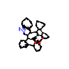 c1ccc(-c2ccccc2-c2c3ccccc3c(-c3ccccc3-c3ccccc3)c3c2cnc2ccccc23)cc1